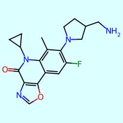 Cc1c(N2CCC(CN)C2)c(F)cc2c3ocnc3c(=O)n(C3CC3)c12